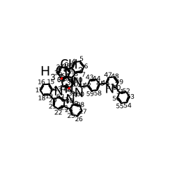 CC1(C)c2ccccc2-c2ccc(-n3c4ccccc4c4ccc5c6ccccc6n(-c6nc(-c7ccccc7)nc(-c7ccc(-c8cccc(-c9ccccc9)n8)cc7)n6)c5c43)cc21